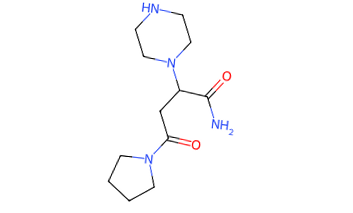 NC(=O)C(CC(=O)N1CCCC1)N1CCNCC1